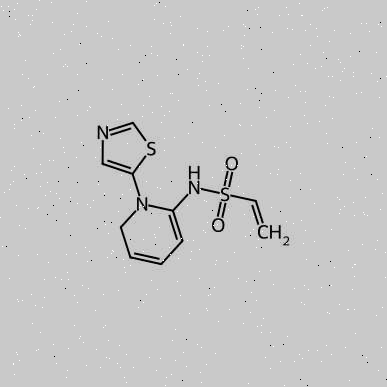 C=CS(=O)(=O)NC1=CC=CCN1c1cncs1